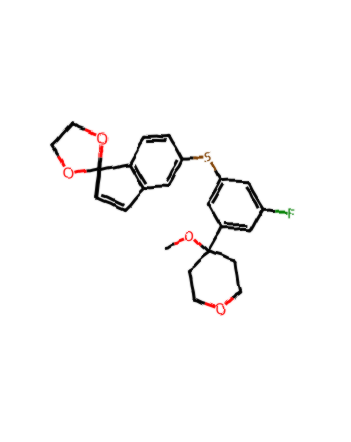 COC1(c2cc(F)cc(Sc3ccc4c(c3)C=CC43OCCO3)c2)CCOCC1